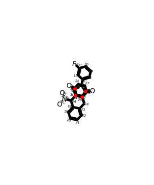 O=C1C2=C(C(=O)N1c1cccc(F)c1)C1([N+](=O)[O-])c3ccccc3C2c2ccccc21